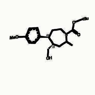 COc1ccc([C@H]2CCN(C(=O)OC(C)(C)C)C(C)C[C@@H]2CO)cc1